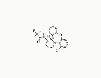 O=C(N[C@@H]1CCCN2c3c(Cl)cccc3Oc3ccccc3[C@@H]12)C(F)(F)F